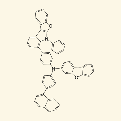 c1ccc(-n2c3oc4ccccc4c3c3cccc(-c4ccc(N(c5ccc(-c6cccc7ccccc67)cc5)c5ccc6c(c5)oc5ccccc56)cc4)c32)cc1